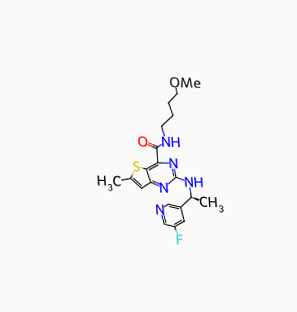 COCCCCNC(=O)c1nc(N[C@@H](C)c2cncc(F)c2)nc2cc(C)sc12